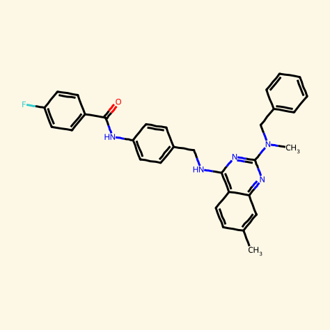 Cc1ccc2c(NCc3ccc(NC(=O)c4ccc(F)cc4)cc3)nc(N(C)Cc3ccccc3)nc2c1